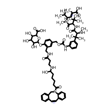 CNC(C(=O)NC(C(=O)N(C)C(/C=C(\C)C(=O)O)C(C)C)C(C)(C)C)C(C)(C)c1cccc(NC(=O)OCc2ccc(OC3OC(C(=O)O)C(O)C(O)C3O)c(CNC(=O)CCNC(O)CCCCC(=O)N3Cc4ccccc4/C=C\c4ccccc43)c2)c1